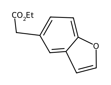 CCOC(=O)Cc1ccc2occc2c1